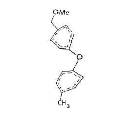 COCc1ccc(Oc2ccc(C)cc2)cc1